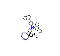 C=C1/C=C\C=C/C/C=C\C=C/1c1ccc(N(c2ccc(-c3cccc4ccccc34)cc2)c2cc3ccccc3c3ccccc23)cc1